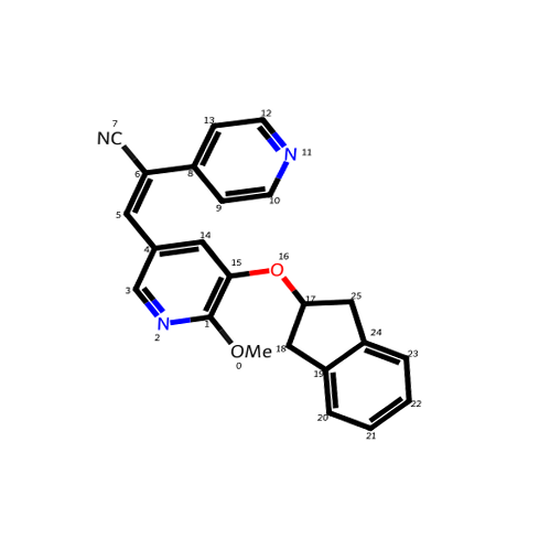 COc1ncc(C=C(C#N)c2ccncc2)cc1OC1Cc2ccccc2C1